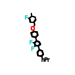 CCCc1ccc(-c2ccc(-c3ccc(OCC4=CCC(C)C(F)=C4)cc3)c(F)c2F)cc1